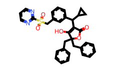 O=C1OC(Cc2ccccc2)(Cc2ccccc2)C(O)=C1C(c1cccc(CS(=O)(=O)c2ncccn2)c1)C1CC1